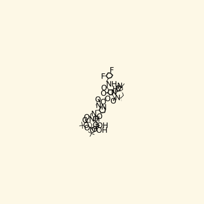 CC1=NO[C@@]2(CC[C@H](C)N3C[C@H]2n2cc(C(=O)NCc4ccc(F)cc4F)c(=O)c(OCOC(=O)N(C)c4ncccc4CN(CC(=O)N[C@@H](CC(=O)OC(C)(C)C)C(=O)OC(C)(C)C)C(=O)OCOP(=O)(O)O)c2C3=O)C1